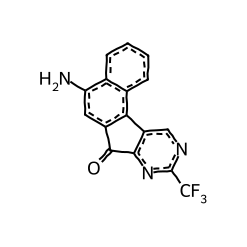 Nc1cc2c(c3ccccc13)-c1cnc(C(F)(F)F)nc1C2=O